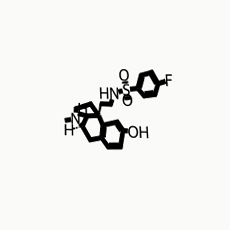 C[C@H]1[C@H]2Cc3ccc(O)cc3[C@@]1(CCNS(=O)(=O)c1ccc(F)cc1)CCN2C